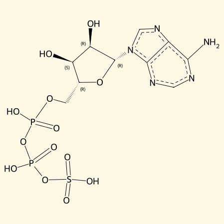 Nc1ncnc2c1ncn2[C@@H]1O[C@H](COP(=O)(O)OP(=O)(O)OS(=O)(=O)O)[C@@H](O)[C@H]1O